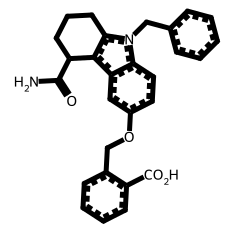 NC(=O)C1CCCc2c1c1cc(OCc3ccccc3C(=O)O)ccc1n2Cc1ccccc1